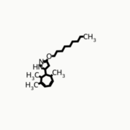 CCCCCCCCCOC1=NNC(C2C(C)C=CC=C(C)C2C)C1